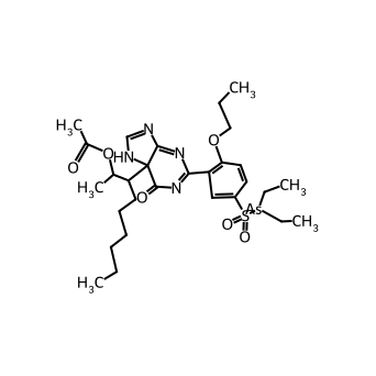 CCCCCCC(C(C)OC(C)=O)C12NC=NC1=NC(c1cc(S(=O)(=O)[As](CC)CC)ccc1OCCC)=NC2=O